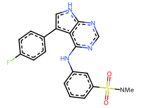 CNS(=O)(=O)c1cccc(Nc2ncnc3[nH]cc(-c4ccc(F)cc4)c23)c1